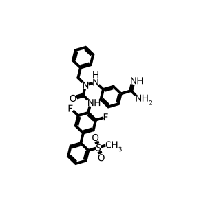 CS(=O)(=O)c1ccccc1-c1cc(F)c(NC(=O)N(Cc2ccccc2)Nc2cccc(C(=N)N)c2)c(F)c1